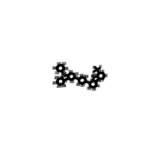 CC(C)(C)c1cccc2c1sc1c(-c3ccc(-c4ccc5c(c4)c4ccccc4n5-c4ccccc4)cc3)cccc12